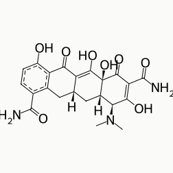 CN(C)[C@@H]1C(O)=C(C(N)=O)C(=O)[C@@]2(O)C(O)=C3C(=O)c4c(O)ccc(C(N)=O)c4C[C@H]3C[C@@H]12